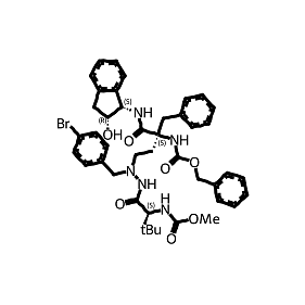 COC(=O)N[C@H](C(=O)NN(CC[C@](Cc1ccccc1)(NC(=O)OCc1ccccc1)C(=O)N[C@H]1c2ccccc2C[C@H]1O)Cc1ccc(Br)cc1)C(C)(C)C